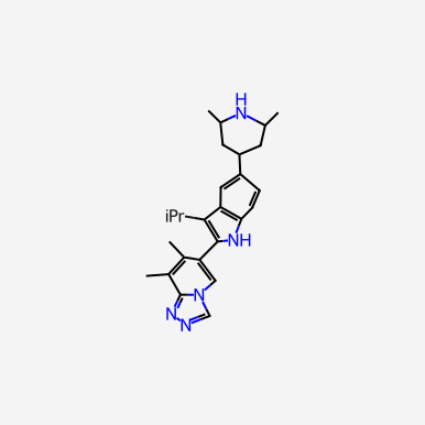 Cc1c(-c2[nH]c3ccc(C4CC(C)NC(C)C4)cc3c2C(C)C)cn2cnnc2c1C